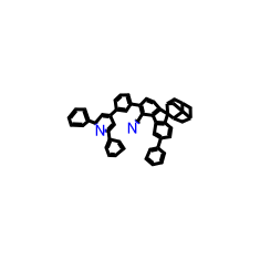 N#Cc1c(-c2cccc(-c3cc(-c4ccccc4)nc(-c4ccccc4)c3)c2)ccc2c1-c1cc(-c3ccccc3)ccc1C21C2CC3CC(C2)CC1C3